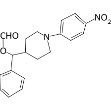 O=COC(c1ccccc1)C1CCN(c2ccc([N+](=O)[O-])cc2)CC1